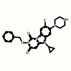 O=c1cc2n(C3CC3)c3cc(N4CCNCC4)c(F)cc3n2c(=O)n1OCc1ccccc1